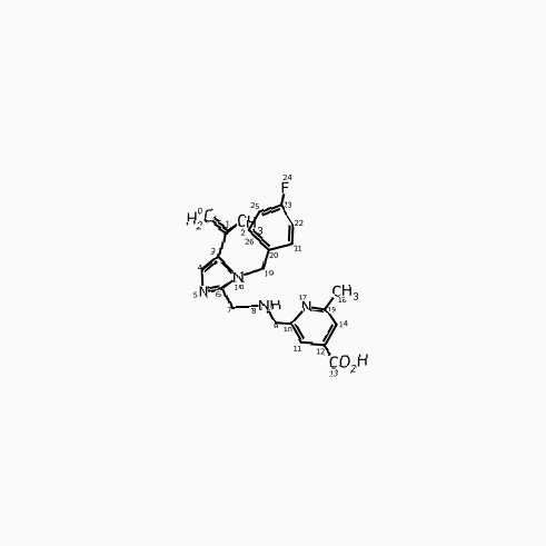 C=C(C)c1cnc(CNCc2cc(C(=O)O)cc(C)n2)n1Cc1ccc(F)cc1